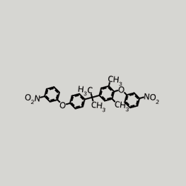 Cc1cc(C(C)(C)c2ccc(Oc3cccc([N+](=O)[O-])c3)cc2)cc(C)c1Oc1cccc([N+](=O)[O-])c1